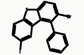 Brc1ccc2sc3ccc(I)cc3c2c1-c1ccccc1